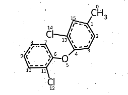 Cc1ccc(Oc2ccccc2Cl)c(Cl)c1